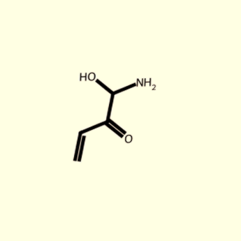 C=CC(=O)C(N)O